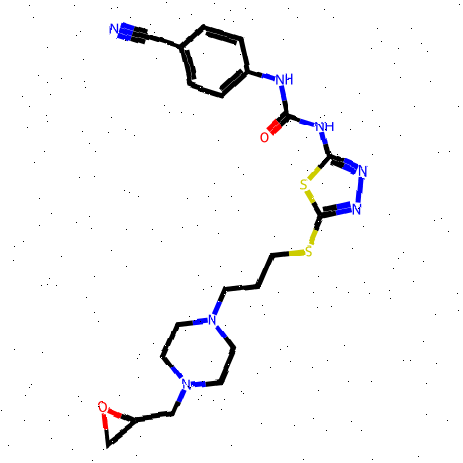 N#Cc1ccc(NC(=O)Nc2nnc(SCCCN3CCN(CC4CO4)CC3)s2)cc1